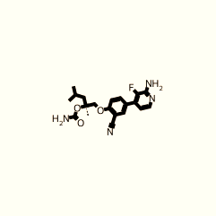 CC(C)C[C@@](C)(COc1ccc(-c2ccnc(N)c2F)cc1C#N)OC(N)=O